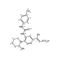 CC/C(=C\C(=O)O)c1ccc(N2CCOCC2C(C)C)c(NC(=O)Nc2ccc(C)cc2)c1